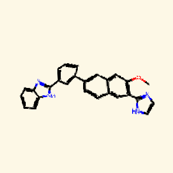 COc1cc2cc(-c3cccc(-c4nc5ccccc5[nH]4)c3)ccc2cc1-c1ncc[nH]1